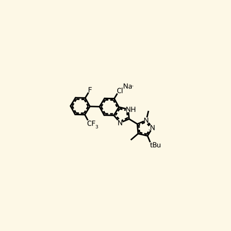 Cc1c(C(C)(C)C)nn(C)c1-c1nc2cc(-c3c(F)cccc3C(F)(F)F)cc(Cl)c2[nH]1.[Na]